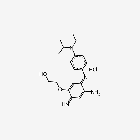 CCN(c1ccc(N=C2C=C(OCCO)C(=N)C=C2N)cc1)C(C)C.Cl